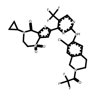 O=C1c2sc(-c3nc(Nc4cc5c(cc4Cl)CN(C(=O)C(F)(F)F)CC5)ncc3C(F)(F)F)cc2S(=O)(=O)CCN1C1CC1